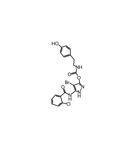 O=C(NCCc1ccc(O)cc1)Oc1n[nH]c(NC(=O)c2ccccc2Cl)c1Br